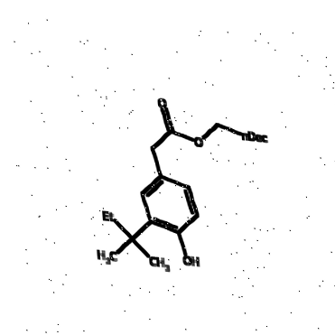 CCCCCCCCCCCOC(=O)Cc1ccc(O)c(C(C)(C)CC)c1